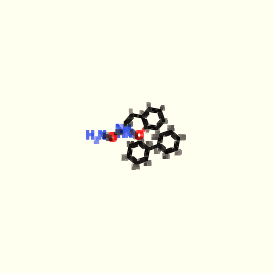 C1=Cc2ccccc2ON1.NON.c1ccc(-c2ccccc2)cc1